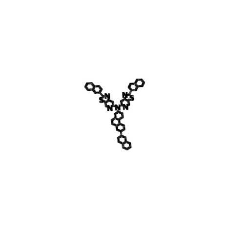 c1ccc2cc(-c3ccc4c(ccc5cc(N(c6cc7nc(-c8ccc9ccccc9c8)sc7cn6)c6cc7nc(-c8ccc9ccccc9c8)sc7cn6)ccc54)c3)ccc2c1